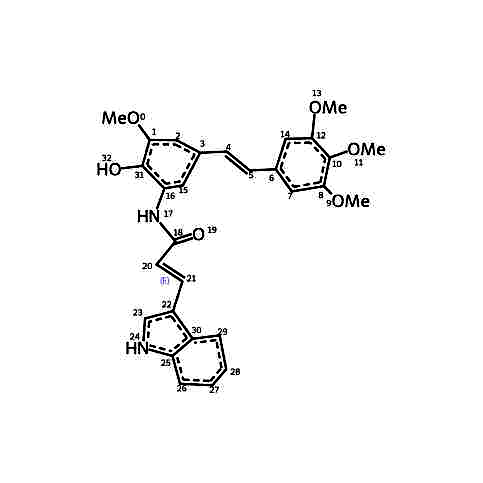 COc1cc(C=Cc2cc(OC)c(OC)c(OC)c2)cc(NC(=O)/C=C/c2c[nH]c3ccccc23)c1O